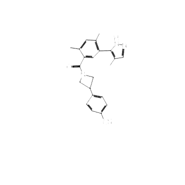 Cc1cc(C)c(-c2[nH]ncc2C)cc1C(=O)N1CC(c2ccc(C#N)cc2)C1